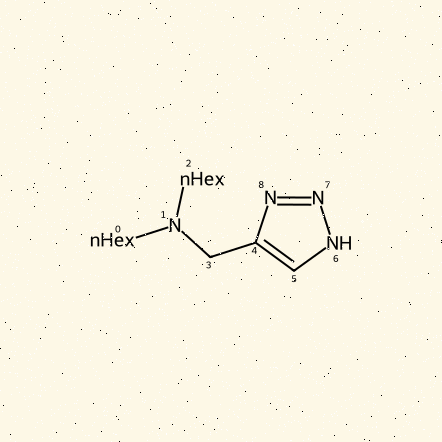 CCCCCCN(CCCCCC)Cc1c[nH]nn1